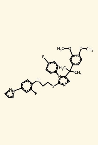 COc1ccc(C(C)(C)c2cnc(SCCOc3ccc(-n4cccn4)cc3F)n2-c2ccc(F)cc2)cc1OC